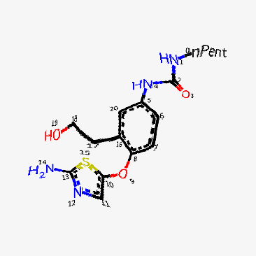 CCCCCNC(=O)Nc1ccc(Oc2cnc(N)s2)c(CCO)c1